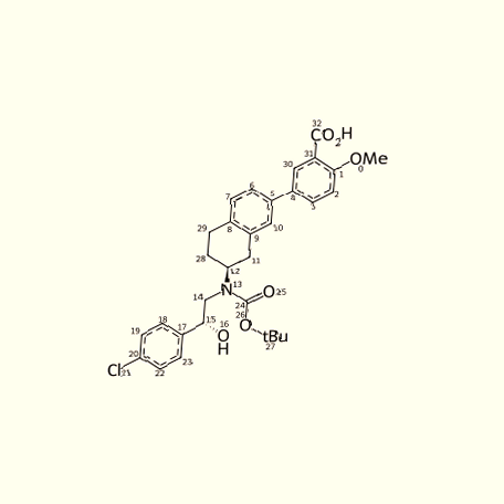 COc1ccc(-c2ccc3c(c2)C[C@@H](N(C[C@H](O)c2ccc(Cl)cc2)C(=O)OC(C)(C)C)CC3)cc1C(=O)O